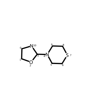 C1COC(N2CCSCC2)[N]1